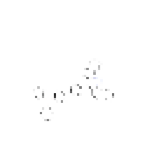 C1=CCC=C(P(c2ccccc2)c2ccc(-c3ccc(-c4c5ccc6c(c5nc5c4ccc4ccccc45)C=CCC6)cc3)cc2)C=C1